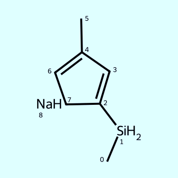 C[SiH2]C1=CC(C)=CC1.[NaH]